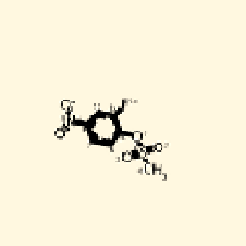 CS(=O)(=O)Oc1ccc([N+](=O)[O-])cc1F